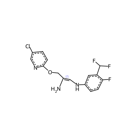 N/C(=C\Nc1ccc(F)c(C(F)F)c1)COc1ccc(Cl)cn1